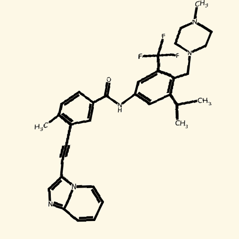 Cc1ccc(C(=O)Nc2cc(C(C)C)c(CN3CCN(C)CC3)c(C(F)(F)F)c2)cc1C#Cc1cnc2ccccn12